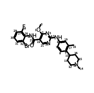 COc1nc(Nc2ccc(C3CCN(C)CC3)c(C)c2)ncc1C(=O)Nc1c(F)cccc1Br